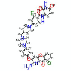 Nc1nc2c(=O)c3c(Cl)cccc3oc2cc1Oc1ccc(N2CCN(CC3CCN(c4ccc(C(=O)NC5CCC(=O)NC5=O)c(F)c4)CC3)CC2)cc1